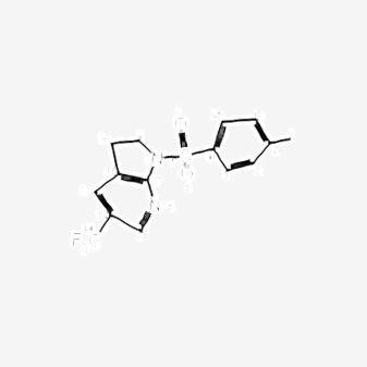 Cc1ccc(S(=O)(=O)N2CCc3cc(C(F)(F)F)cnc32)cc1